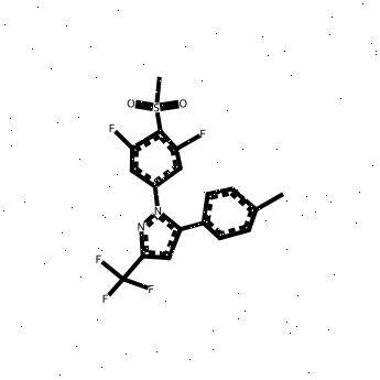 Cc1ccc(-c2cc(C(F)(F)F)nn2-c2cc(F)c(S(C)(=O)=O)c(F)c2)cc1